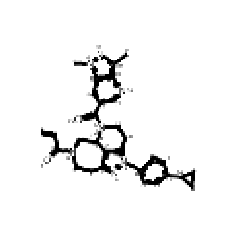 C=CC(=O)N1CCc2nn(-c3ccc(C4CC4)cc3)c3c2[C@H](C1)N(C(=O)c1cnc2c(C)nn(C)c2c1)CC3